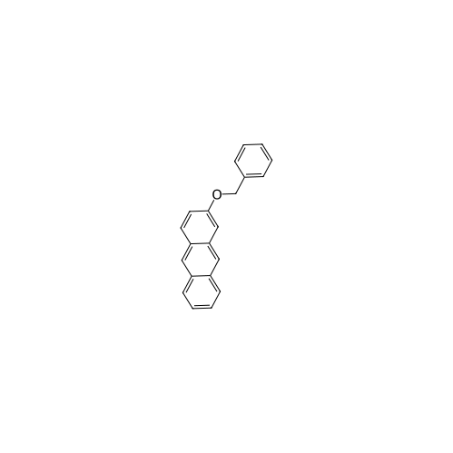 c1ccc(COc2ccc3cc4ccccc4cc3c2)cc1